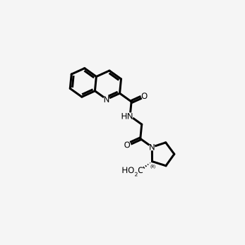 O=C(NCC(=O)N1CCC[C@@H]1C(=O)O)c1ccc2ccccc2n1